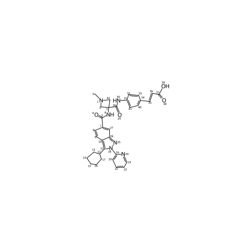 CN1CC(NC(=O)c2ccc3c(C4CCCCC4)n(-c4ccccn4)nc3c2)(C(=O)Nc2ccc(C=CC(=O)O)cc2)C1